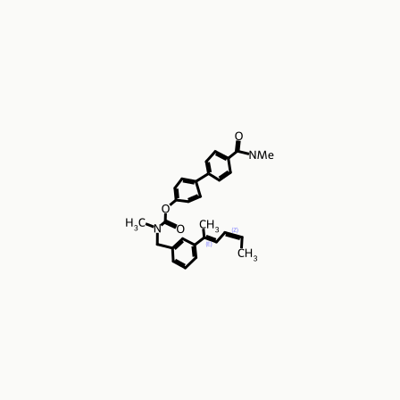 C/C=C\C=C(/C)c1cccc(CN(C)C(=O)Oc2ccc(-c3ccc(C(=O)NC)cc3)cc2)c1